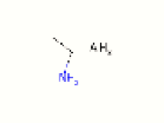 CCN.[AlH3]